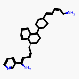 NC/C=C\C=C\C1CCC(C2=C3C=CC=CC3[C@H](C/C=C\C=C(/N)c3cccnc3)CC2)CC1